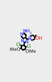 COc1cc(OC)c(Cl)c(-c2nc(N3CCC(C)(O)CC3)c3cc(N)ncc3n2)c1Cl